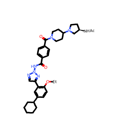 CCOc1ccc(C2CCCCC2)cc1-c1cnn(NC(=O)c2ccc(C(=O)N3CCC(N4CC[C@@H](NC(C)=O)C4)CC3)cc2)n1